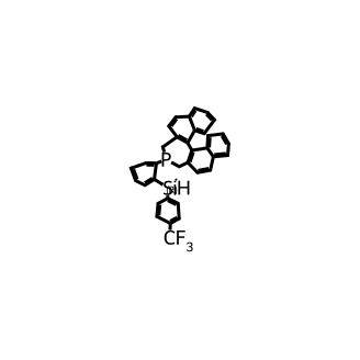 C[Si@H](c1ccc(C(F)(F)F)cc1)c1ccccc1P1Cc2ccc3ccccc3c2-c2c(ccc3ccccc23)C1